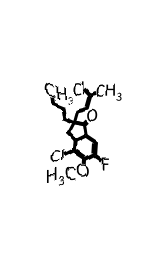 CCCCC1(CC=C(C)Cl)CC2C(Cl)=C(OC)C(F)=CC2C1=O